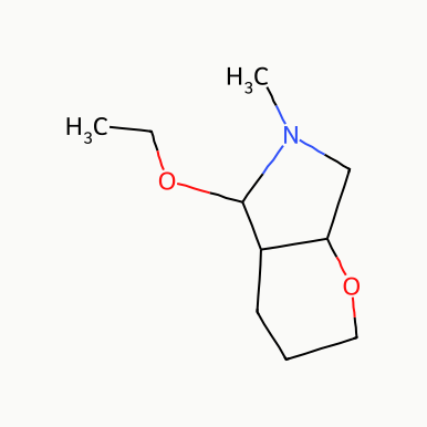 CCOC1C2CCCOC2CN1C